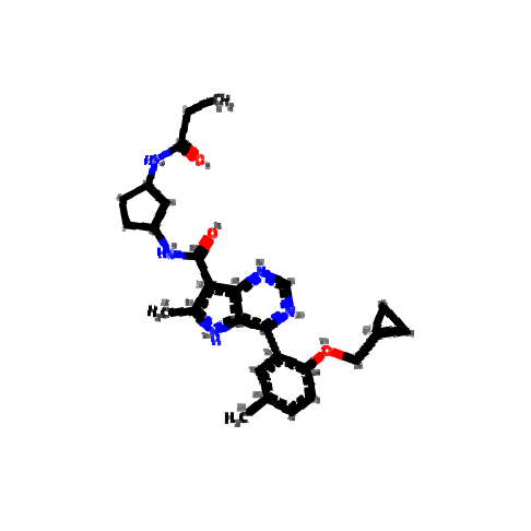 CCC(=O)NC1CCC(NC(=O)c2c(C)[nH]c3c(-c4cc(C)ccc4OCC4CC4)ncnc23)C1